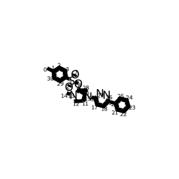 Cc1ccc(S(=O)(=O)OC23CC(CN2C)N(c2ccc(-c4ccccc4)nn2)C3)cc1